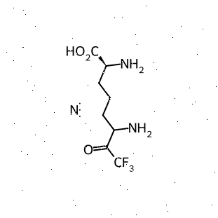 NC(CCC[C@H](N)C(=O)O)C(=O)C(F)(F)F.[N]